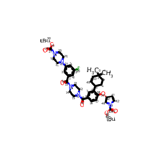 CC1(C)CCC(c2cc(C(=O)N3CCN(C(=O)c4cc(F)cc(N5CCN(C(=O)OC(C)(C)C)CC5)c4)CC3)ccc2O[C@H]2CCN(C(=O)OC(C)(C)C)C2)CC1